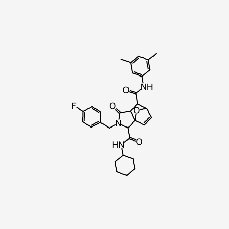 Cc1cc(C)cc(NC(=O)C2C3C=CC4(O3)C2C(=O)N(Cc2ccc(F)cc2)C4C(=O)NC2CCCCC2)c1